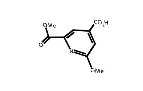 COC(=O)c1cc(C(=O)O)cc(OC)n1